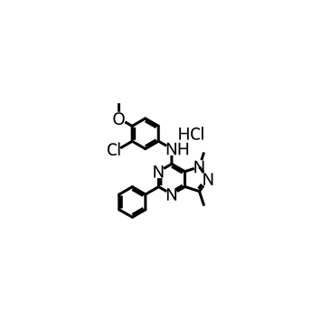 COc1ccc(Nc2nc(-c3ccccc3)nc3c(C)nn(C)c23)cc1Cl.Cl